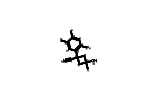 Cc1cc(F)c(C2(C#N)CC(C)(O)C2)cc1C